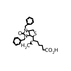 C=C=C(CCCCC(=O)O)C1SCC2C1N(Cc1ccccc1)C(=O)N2Cc1ccccc1